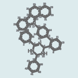 c1ccc(C2=NC(c3ccccc3-c3ccc(-n4c5ccccc5c5ccc6ccccc6c54)cc3)NC(c3ccccc3)N2)cc1